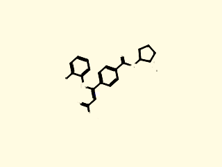 N=C(/C=C(\Nc1ccccc1Cl)c1ccc(C(=O)NC2CCC[C@@H]2O)cc1)C(F)(F)F